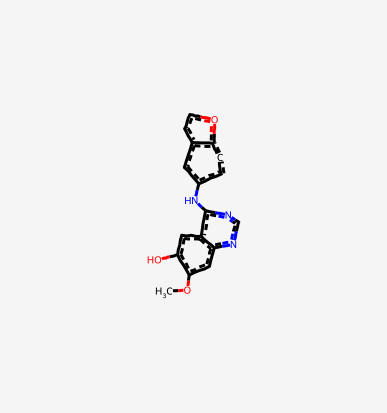 COc1cc2ncnc(Nc3ccc4occc4c3)c2cc1O